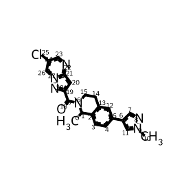 CC1c2ccc(-c3cnn(C)c3)cc2CCN1C(=O)c1cc2ncc(Cl)cn2n1